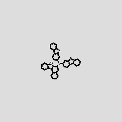 c1ccc2c(c1)cc(N(c1ccc3c(c1)sc1ccccc13)c1ccc3c(c1)sc1ccccc13)c1oc3ccccc3c12